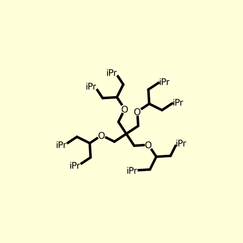 CC(C)CC(CC(C)C)OCC(COC(CC(C)C)CC(C)C)(COC(CC(C)C)CC(C)C)COC(CC(C)C)CC(C)C